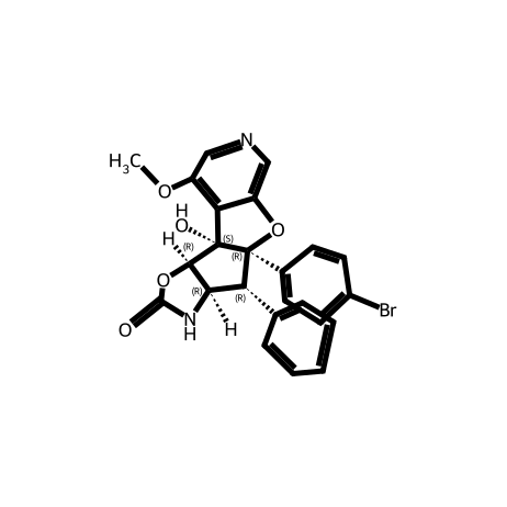 COc1cncc2c1[C@]1(O)[C@@H]3OC(=O)N[C@@H]3[C@@H](c3ccccc3)[C@]1(c1ccc(Br)cc1)O2